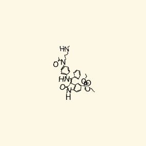 CCOP(=O)(OCC)c1ccc2c(c1)/C(=C(/Nc1ccc(N(CCCNC)C(C)=O)cc1)c1ccccc1)C(=O)N2